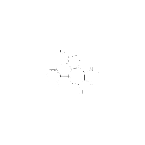 CC1N=C(c2ncccc2F)c2c(ccc(Cl)c2Cl)N(N)C1=O